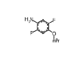 CCCOc1cc(F)c(N)cc1F